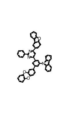 c1ccc(-c2nc(-c3cc(-c4ccc5c(c4)Oc4ccccc4O5)cc(-n4c5ccccc5c5ccccc54)c3)cc(-c3ccc4oc5ccccc5c4c3)n2)cc1